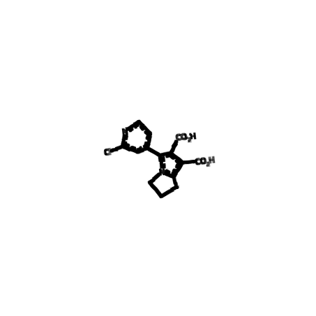 O=C(O)c1c(C(=O)O)c(-c2ccnc(Cl)c2)n2c1CCC2